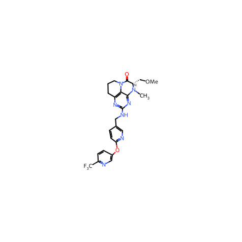 COC[C@H]1C(=O)N2CCCc3nc(NCc4ccc(Oc5ccc(C(F)(F)F)nc5)nc4)nc(c32)N1C